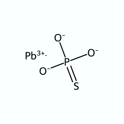 [O-]P([O-])([O-])=S.[Pb+3]